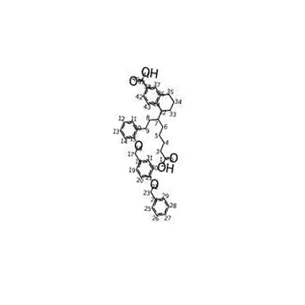 O=C(O)CCCCC(CCc1ccccc1OCc1ccc(OCc2ccccc2)cc1)C1CCCc2cc(C(=O)O)ccc21